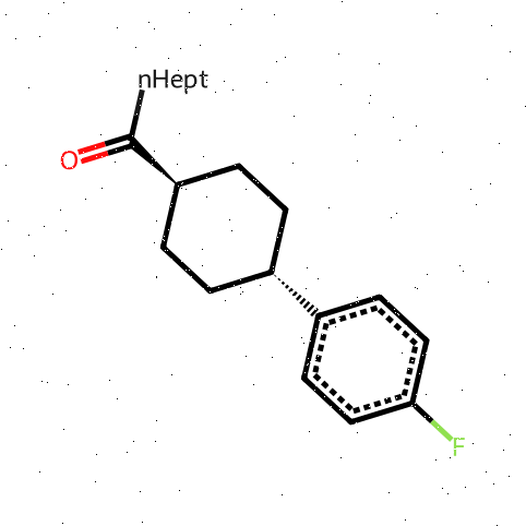 CCCCCCCC(=O)[C@H]1CC[C@H](c2ccc(F)cc2)CC1